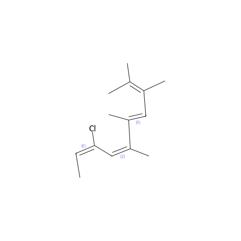 C\C=C(Cl)/C=C(C)\C(C)=C\C(C)=C(C)C